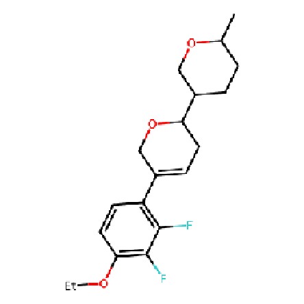 CCOc1ccc(C2=CCC(C3CCC(C)OC3)OC2)c(F)c1F